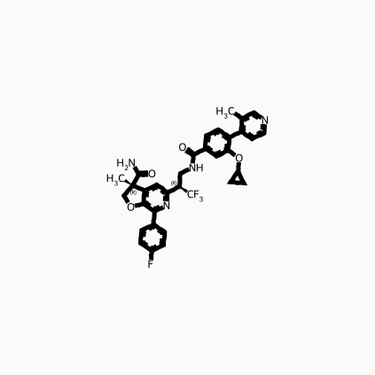 Cc1cnccc1-c1ccc(C(=O)NC[C@H](c2cc3c(c(-c4ccc(F)cc4)n2)OC[C@]3(C)C(N)=O)C(F)(F)F)cc1OC1CC1